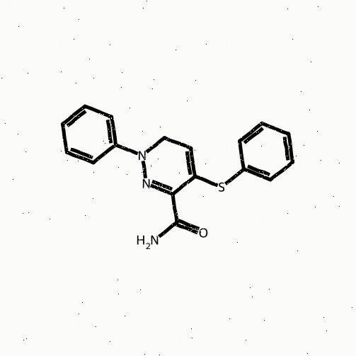 NC(=O)C1=NN(c2ccccc2)CC=C1Sc1ccccc1